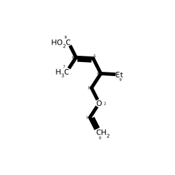 C=COCC(C=C(C)C(=O)O)CC